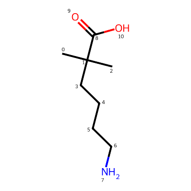 CC(C)(CCCCN)C(=O)O